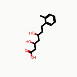 Cc1ccccc1CCC(O)CC(O)CC(=O)O